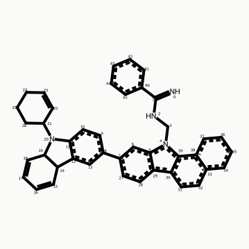 N=C(NCn1c2cc(-c3ccc4c(c3)C3C=CC=CC3N4C3C=CCCC3)ccc2c2ccc3ccccc3c21)c1ccccc1